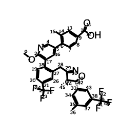 COc1ncc(-c2ccc(C(=O)O)cc2C)cc1-c1ccc(C(F)(F)F)cc1CC1=NO[C@H](c2cc(C)cc(C(F)(F)F)c2)[C@@H]1C